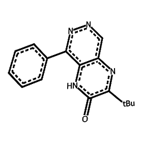 CC(C)(C)c1nc2cnnc(-c3ccccc3)c2[nH]c1=O